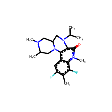 Cc1c(F)cc2c3c(c(=O)n(C)c2c1F)N(C(C)C)CC1CN(C)C(C)CN31